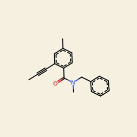 CC#Cc1cc(C)ccc1C(=O)N(C)Cc1ccccc1